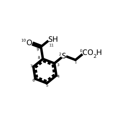 O=C(O)CSc1ccccc1C(=O)S